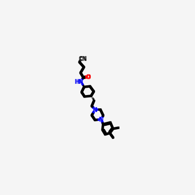 Cc1ccc(N2CCN(CC[C@H]3CC[C@H](NC(=O)CCCC#N)CC3)CC2)cc1C